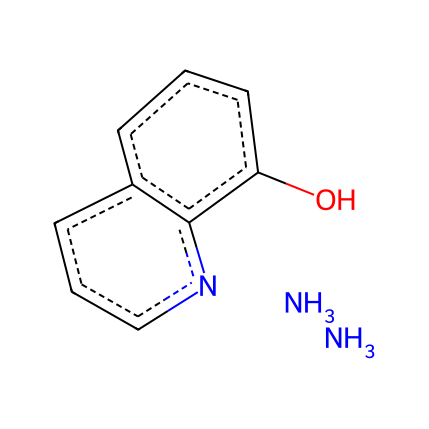 N.N.Oc1cccc2cccnc12